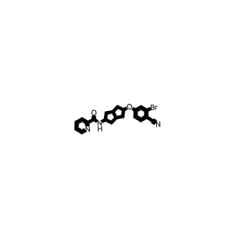 N#Cc1ccc(OC2CC3CC(NC(=O)c4ccccn4)CC3C2)cc1Br